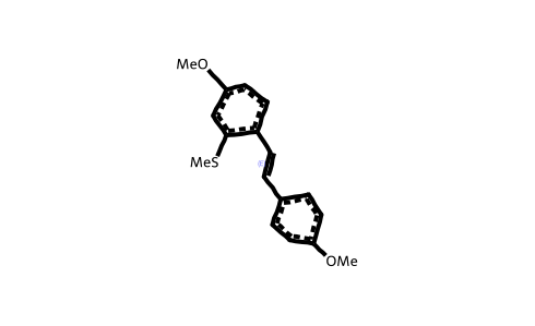 COc1ccc(/C=C/c2ccc(OC)cc2SC)cc1